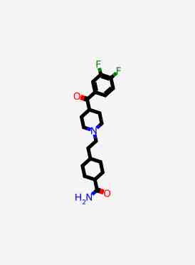 NC(=O)C1CCC(CCN2CCC(C(=O)c3ccc(F)c(F)c3)CC2)CC1